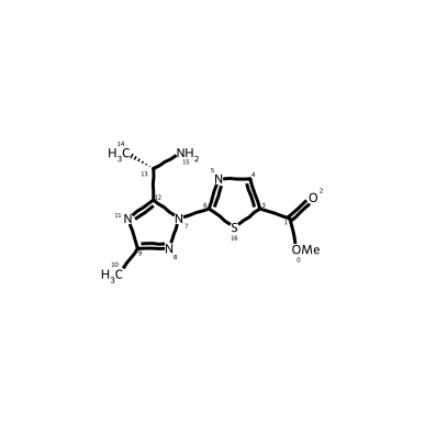 COC(=O)c1cnc(-n2nc(C)nc2[C@H](C)N)s1